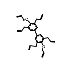 C=CCOc1c(CC=C)cc(-c2cc(CC=C)c(OCC=C)c(CC=C)c2)cc1CC=C